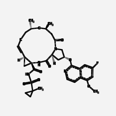 COc1cc(F)cc2c(O[C@@H]3C[C@H]4C(=O)N[C@]5(C(=O)NS(=O)(=O)C6(C)CC6)C[C@H]5/C=C\CC[C@H](C)C[C@@H](C)CC(=O)N4C3)nccc12